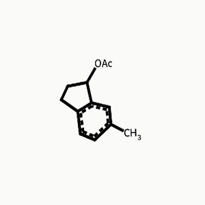 CC(=O)OC1CCc2ccc(C)cc21